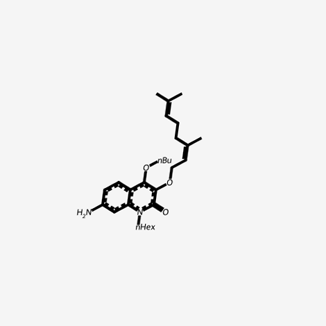 CCCCCCn1c(=O)c(OCC=C(C)CCC=C(C)C)c(OCCCC)c2ccc(N)cc21